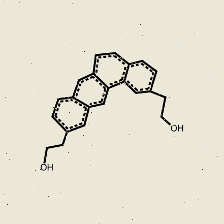 OCCc1ccc2cc3ccc4ccc(CCO)cc4c3cc2c1